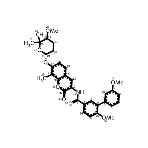 COc1cccc(-c2cc(C(=O)Nc3cc4ccc(O[C@H]5CCC(OC)C(C)(C)O5)c(C)c4oc3=O)ccc2OC)c1